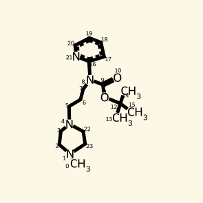 CN1CCN(CCCN(C(=O)OC(C)(C)C)c2ccccn2)CC1